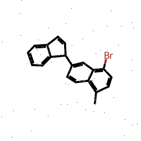 Cc1ccc(Br)c2cc(C3C=Cc4ccccc43)ccc12